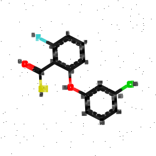 O=C(S)c1c(F)cccc1Oc1cccc(Cl)c1